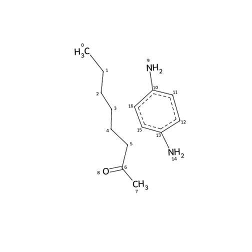 CCCCCCC(C)=O.Nc1ccc(N)cc1